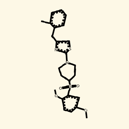 COc1ccc(OC)c(S(=O)(=O)C2CCN(c3nc(Cc4ccccc4C)cs3)CC2)c1